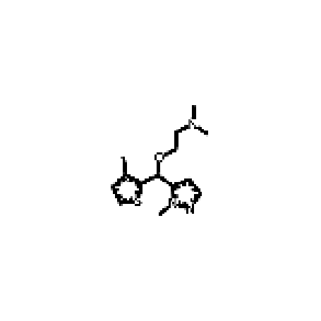 Cc1ccsc1C(OCCN(C)C)c1ccnn1C